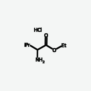 CCOC(=O)C(N)C(C)C.Cl